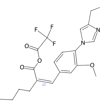 CCc1cn(-c2ccc(/C=C(/CCCCl)C(=O)OC(=O)C(F)(F)F)cc2OC)cn1